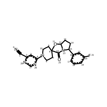 N#Cc1cc(N2CCC3(CC2)OC2CCC(c4cccc(F)c4)N2C3=O)ncn1